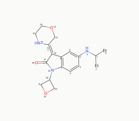 CCC(CC)Nc1ccc2c(c1)/C(=C1\COCCN1)C(=O)N2C1COC1